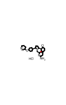 Cl.Nc1cccc(Cn2c(-c3ccc(Oc4cccnn4)cc3)ccc2-c2ccccc2Cl)n1